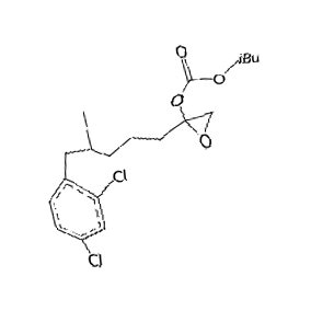 CCC(C)OC(=O)OC1(CCCC(C)Cc2ccc(Cl)cc2Cl)CO1